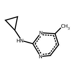 Cc1ccnc(NC2CC2)n1